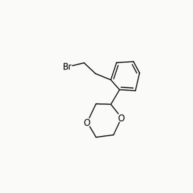 BrCCc1ccccc1C1COCCO1